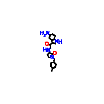 Cc1ccc(CN2CCC(NCC(=O)c3c[nH]c4ccc(N)cc34)C2=O)cc1